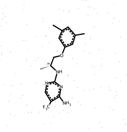 Cc1cc(C)cc(OC[C@@H](C)Nc2ncc(C(F)(F)F)c(N)n2)c1